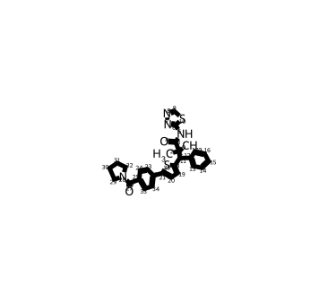 CC(C)(C(=O)Nc1nncs1)C(c1ccccc1)c1ccc(-c2ccc(C(=O)N3CCCC3)cc2)s1